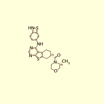 C[C@@H]1COCCN1C(=O)[C@H]1CCc2c(sc3ncnc(Nc4ccc5[nH]sc5c4)c23)C1